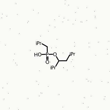 CC(C)CC(OP(=O)(O)CC(C)C)C(C)C